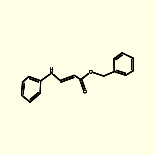 O=C(C=CNc1ccccc1)OCc1ccccc1